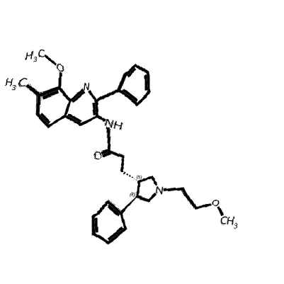 COCCN1C[C@@H](CCC(=O)Nc2cc3ccc(C)c(OC)c3nc2-c2ccccc2)[C@H](c2ccccc2)C1